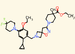 CCOC(=O)C1(C)CCN(C2=NOC3(C2)CN(Cc2cc(OCC)c(N4CCC(F)(F)CC4)cc2C2CC2)C3)CC1